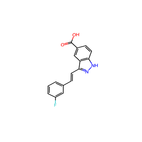 O=C(O)c1ccc2[nH]nc(/C=C/c3cccc(F)c3)c2c1